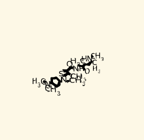 CCN(c1scc(C(=O)NC/C(C=O)=C(C)/C=C(/C)NC)c1C)C1CCC(N(C)C)CC1